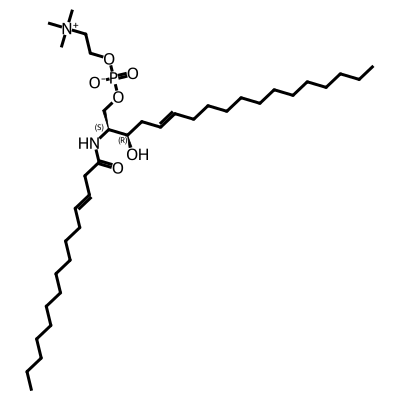 CCCCCCCCCCCC=CCC(=O)N[C@@H](COP(=O)([O-])OCC[N+](C)(C)C)[C@H](O)CC=CCCCCCCCCCCCC